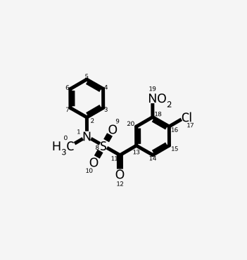 CN(c1ccccc1)S(=O)(=O)C(=O)c1ccc(Cl)c([N+](=O)[O-])c1